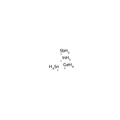 [GeH4].[InH3].[SbH3].[SnH4]